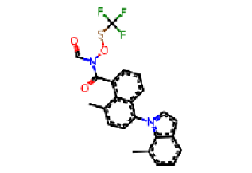 Cc1ccc(-n2ccc3cccc(C)c32)c2cccc(C(=O)N(C=O)OSC(F)(F)F)c12